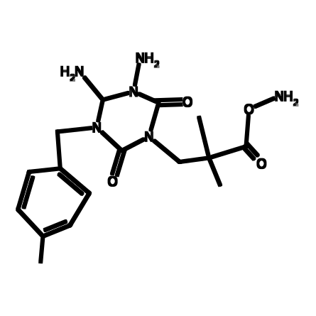 Cc1ccc(CN2C(=O)N(CC(C)(C)C(=O)ON)C(=O)N(N)C2N)cc1